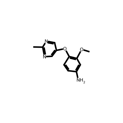 COc1cc(N)ccc1Oc1cnc(C)nc1